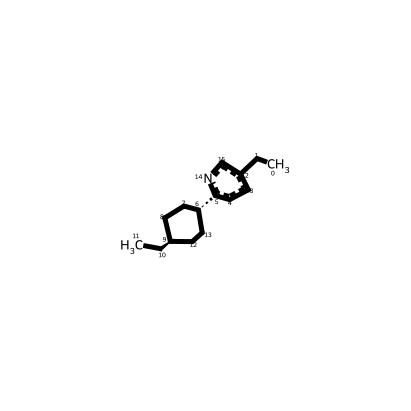 CCc1ccc([C@H]2CC[C@H](CC)CC2)nc1